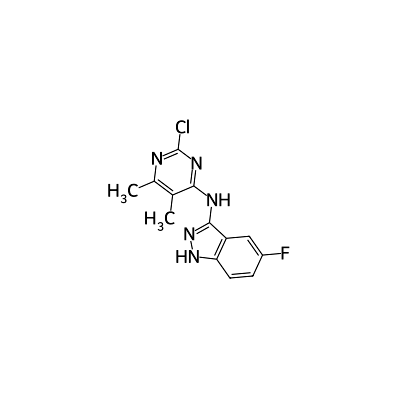 Cc1nc(Cl)nc(Nc2n[nH]c3ccc(F)cc23)c1C